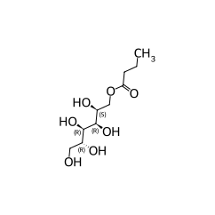 CCCC(=O)OC[C@H](O)[C@@H](O)[C@H](O)[C@H](O)CO